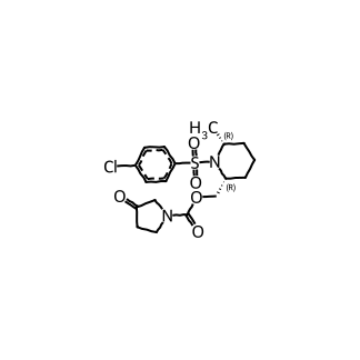 C[C@@H]1CCC[C@H](COC(=O)N2CCC(=O)C2)N1S(=O)(=O)c1ccc(Cl)cc1